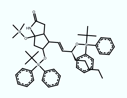 CCCCC[C@@H](C=CC1C(O[Si](c2ccccc2)(c2ccccc2)C(C)(C)C)CC2(O[Si](C)(C)C)NC(=O)CC12)O[Si](c1ccccc1)(c1ccccc1)C(C)(C)C